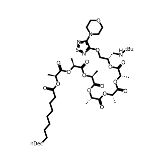 CCCCCCCCCCCCCCCCCC(=O)O[C@@H](C)C(=O)O[C@@H](C)C(=O)O[C@@H](C)C(=O)O[C@@H](C)C(=O)O[C@@H](C)C(=O)O[C@@H](C)C(=O)O[C@@H](CNC(C)(C)C)COc1nsnc1N1CCOCC1